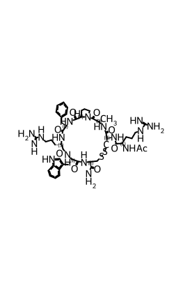 CC(=O)N[C@@H](CCCNC(=N)N)C(=O)N[C@H]1CSSC[C@@H](C(N)=O)NC(=O)[C@H](Cc2c[nH]c3ccccc23)NC(=O)[C@H](CCCNC(=N)N)NC(=O)[C@@H](Cc2ccccc2)NC(=O)[C@H]2CCCN2C(=O)[C@@H](C)NC1=O